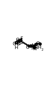 Nc1ncnc2c1c(-c1ccc(Oc3ccccc3)cc1)nn2C1CCN(C(=O)CCCCCCCSc2cc(F)cc3c2C(=O)N(C2CCC(=O)NC2=O)C3=O)CC1